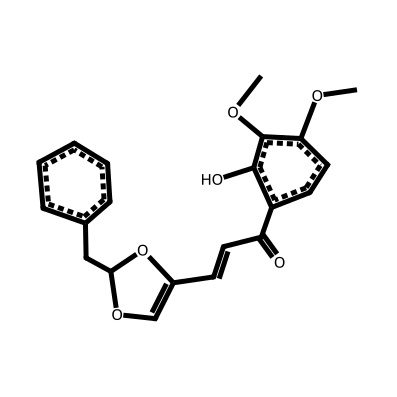 COc1ccc(C(=O)C=CC2=COC(Cc3ccccc3)O2)c(O)c1OC